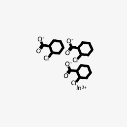 O=C([O-])C1CCCCC1Cl.O=C([O-])C1CCCCC1Cl.O=C([O-])C1CCCCC1Cl.[In+3]